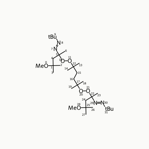 COC(C)(C)CC(C)(/N=N/C(C)(C)C)OOC(C)(C)CCC(C)(C)OOC(C)(CC(C)(C)OC)/N=N/C(C)(C)C